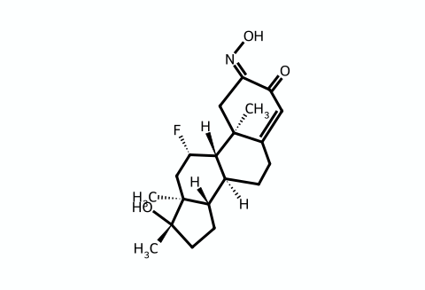 C[C@]12CC(=NO)C(=O)C=C1CC[C@@H]1[C@@H]2[C@@H](F)C[C@@]2(C)[C@H]1CC[C@]2(C)O